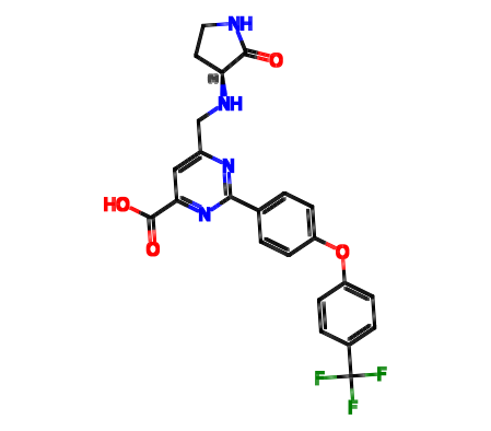 O=C(O)c1cc(CN[C@H]2CCNC2=O)nc(-c2ccc(Oc3ccc(C(F)(F)F)cc3)cc2)n1